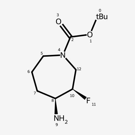 CC(C)(C)OC(=O)N1CCC[C@H](N)[C@H](F)C1